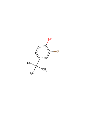 CCC(C)(C)c1ccc(O)c(Br)c1